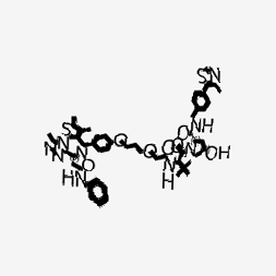 Cc1ncsc1-c1ccc(CNC(=O)[C@@H]2C[C@@H](O)CN2C(=O)C(NC(=O)COCCCOc2ccc(C3=N[C@@H](CC(=O)Nc4ccccc4)c4nnc(C)n4-c4sc(C)c(C)c43)cc2)C(C)(C)C)cc1